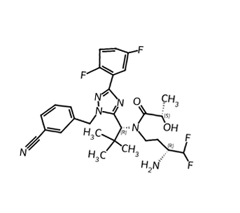 C[C@H](O)C(=O)N(CC[C@@H](N)C(F)F)[C@@H](c1nc(-c2cc(F)ccc2F)nn1Cc1cccc(C#N)c1)C(C)(C)C